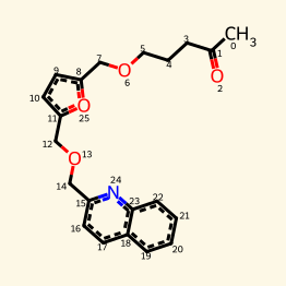 CC(=O)CCCOCc1ccc(COCc2ccc3ccccc3n2)o1